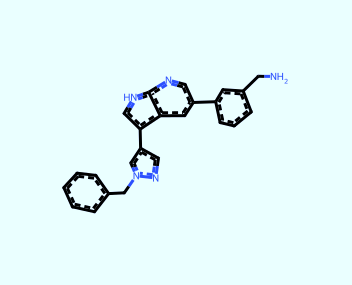 NCc1cccc(-c2cnc3[nH]cc(-c4cnn(Cc5ccccc5)c4)c3c2)c1